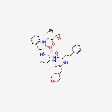 CC(C)C[C@H](NC(=O)[C@@H](CCc1ccccc1)NC(=O)CN1CCOCC1)C(=O)N[C@@H](Cc1ccccc1)C(=O)N[C@H](CC(C)C)C(=O)[C@@]1(C)CO1